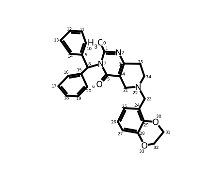 Cc1nc2c(c(=O)n1C(c1ccccc1)c1ccccc1)CN(Cc1cccc3c1OCCO3)CC2